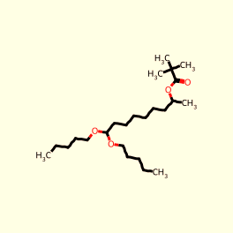 CCCCCOC(CCCCCCC(C)OC(=O)C(C)(C)C)OCCCCC